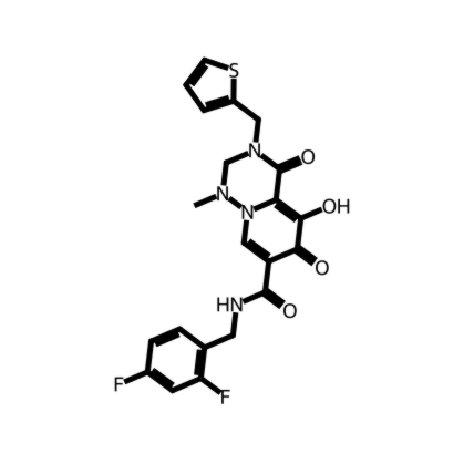 CN1CN(Cc2cccs2)C(=O)c2c(O)c(=O)c(C(=O)NCc3ccc(F)cc3F)cn21